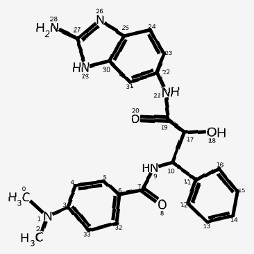 CN(C)c1ccc(C(=O)NC(c2ccccc2)C(O)C(=O)Nc2ccc3nc(N)[nH]c3c2)cc1